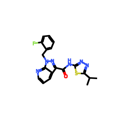 CC(C)c1nnc(NC(=O)c2nn(Cc3ccccc3F)c3ncccc23)s1